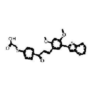 COc1cc(OC)c(-c2cc3ccccc3s2)cc1/C=C/C(=O)c1ccc(SCC(=O)O)cc1